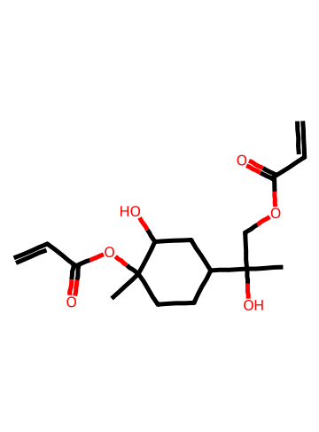 C=CC(=O)OCC(C)(O)C1CCC(C)(OC(=O)C=C)C(O)C1